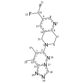 Cc1c(N2CCc3ncc(C(F)F)cc3C2)nn2cnnc2c1C